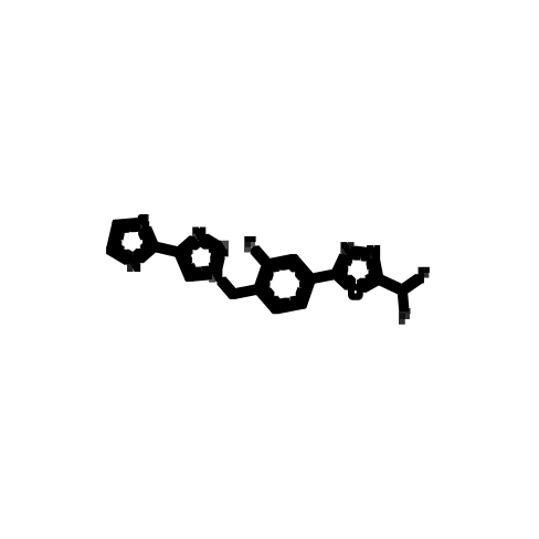 Fc1cc(-c2nnc(C(F)F)o2)ccc1Cn1cc(-c2nccs2)nn1